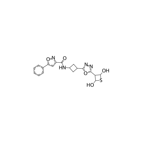 O=C(NC1CC(c2nnc(C3C(O)SC3O)o2)C1)c1cc(-c2ccccc2)on1